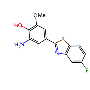 COc1cc(-c2nc3cc(F)ccc3s2)cc(N)c1O